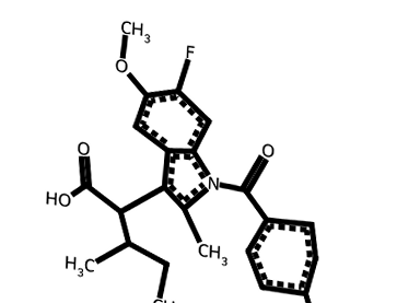 CCC(C)C(C(=O)O)c1c(C)n(C(=O)c2ccc(Br)cc2)c2cc(F)c(OC)cc12